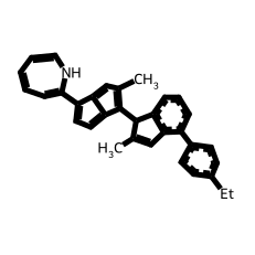 CCc1ccc(-c2cccc3c2C=C(C)[C]3C2=C(C)C=C3C(C4=CC=CC=CN4)=CC=C32)cc1